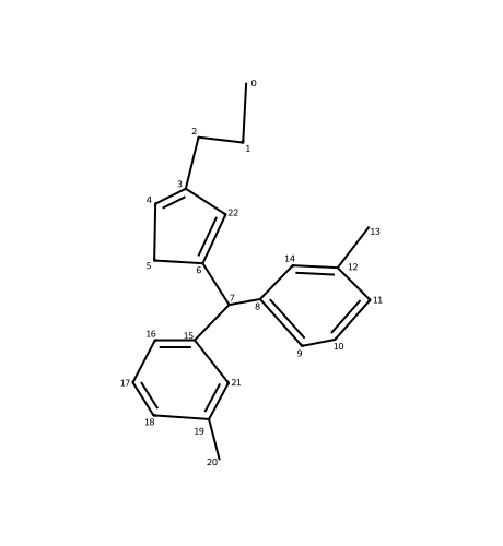 CCCC1=CCC(C(c2cccc(C)c2)c2cccc(C)c2)=C1